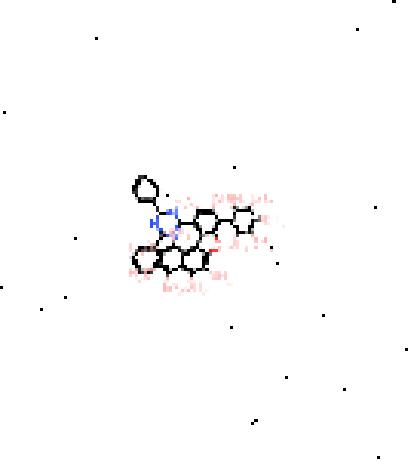 Bc1c(B)c(B)c(-c2c(B)c(B)c(-c3nc(-c4ccccc4)nc(-c4ccccc4)n3)c3c2oc2c(B)c(B)c4c(B)c(B)c(B)c(B)c4c23)c(B)c1B